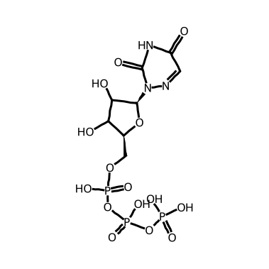 O=c1cnn([C@H]2O[C@@H](COP(=O)(O)OP(=O)(O)OP(=O)(O)O)C(O)C2O)c(=O)[nH]1